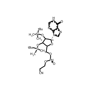 CC(C)(C)[Si](C)(C)OC1C(CO[PH](=O)OCCC#N)O[C@@H](n2cnc3c(=O)[nH]cnc32)C1O[Si](C)(C)C(C)(C)C